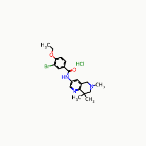 CCOc1ccc(C(=O)Nc2cnc3c(c2)CN(C)CC3(C)C)cc1Br.Cl